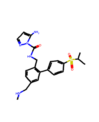 CNCc1ccc(CNC(=O)n2nccc2N)c(-c2ccc(S(=O)(=O)C(C)C)cc2)c1